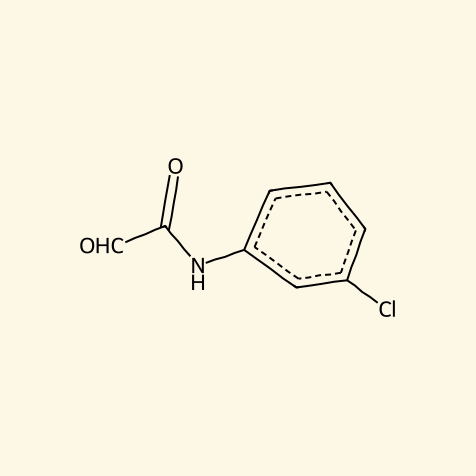 O=CC(=O)Nc1cccc(Cl)c1